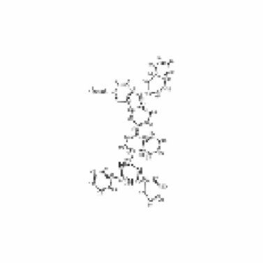 N#Cc1ccc2c(c1)c1cc(-c3ccc(-c4nc(-c5ccccc5)nc(-c5ccccc5)n4)c4ccccc34)ccc1n2-c1ccc2ccccc2c1